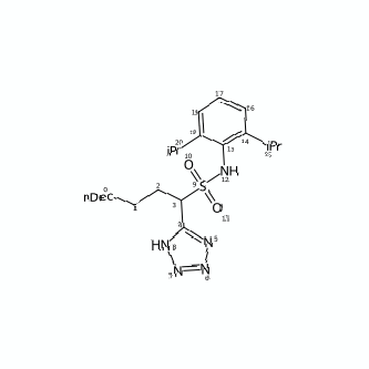 CCCCCCCCCCCCC(c1nnn[nH]1)S(=O)(=O)Nc1c(C(C)C)cccc1C(C)C